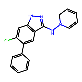 Clc1cc2[nH]nc(NN3C=CC=CC3)c2cc1-c1ccccc1